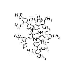 Cc1cc(-c2cc(-n3c4ccc(-c5c(C)cc(C)cc5C)cc4c4cc(-c5c(C)cc(C)cc5C)ccc43)c(C#N)c(-n3c4ccc(-c5c(C)cc(C)cc5C)cc4c4cc(-c5c(C)cc(C)cc5C)ccc43)c2)cc(C(F)(F)F)c1